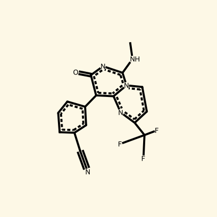 CNc1nc(=O)c(-c2cccc(C#N)c2)c2nc(C(F)(F)F)ccn12